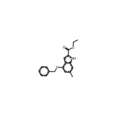 CCOC(=O)c1cc2c(OCc3ccccc3)cc(C)cc2[nH]1